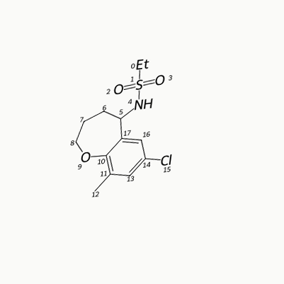 CCS(=O)(=O)NC1CCCOc2c(C)cc(Cl)cc21